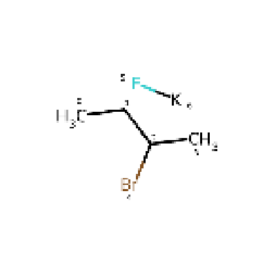 CCC(C)Br.[F][K]